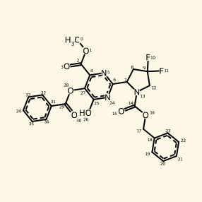 COC(=O)c1nc(C2CC(F)(F)CN2C(=O)OCc2ccccc2)nc(O)c1OC(=O)c1ccccc1